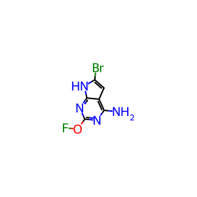 Nc1nc(OF)nc2[nH]c(Br)cc12